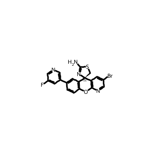 NC1=N[C@@]2(CS1)c1cc(-c3cncc(F)c3)ccc1Oc1ncc(Br)cc12